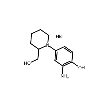 Br.Nc1cc(N2CCCCC2CO)ccc1O